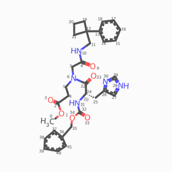 COC(=O)CCN(CC(=O)NCC1(c2ccccc2)CCC1)C(=O)[C@H](Cc1c[nH]cn1)NC(=O)OCc1ccccc1